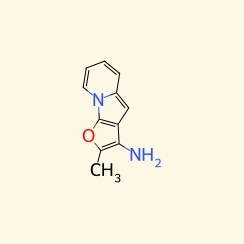 Cc1oc2c(cc3ccccn32)c1N